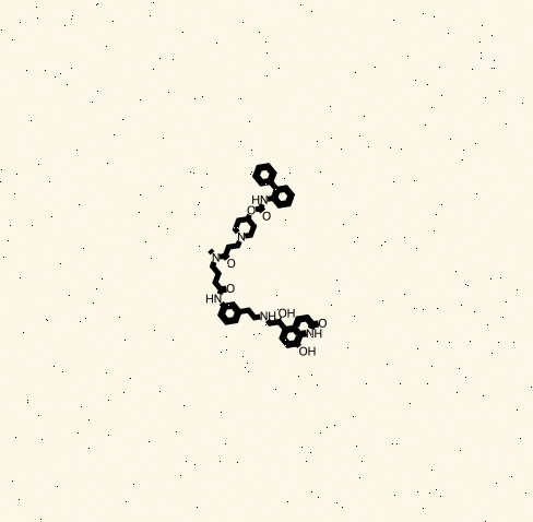 CN(CCCC(=O)Nc1cccc(CCNC[C@H](O)c2ccc(O)c3[nH]c(=O)ccc23)c1)C(=O)CCN1CCC(OC(=O)Nc2ccccc2-c2ccccc2)CC1